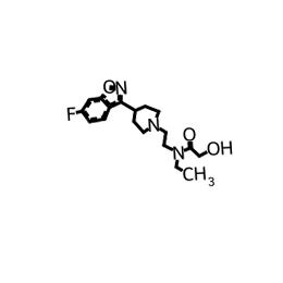 CCN(CCN1CCC(c2noc3cc(F)ccc23)CC1)C(=O)CO